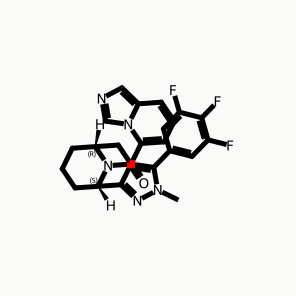 Cn1nc2c(c1-c1cc(F)c(F)c(F)c1)C[C@H]1CCC[C@@H]2N1C(=O)c1cccc2cncn12